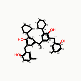 CCC(c1cc(Cc2cc(C)ccc2O)c(O)c(C2CCCCC2)c1)c1cc(Cc2cc(C)ccc2O)c(O)c(C2CCCCC2)c1